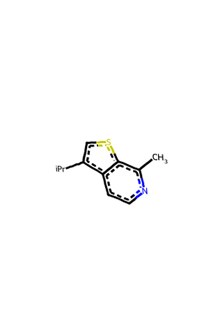 Cc1nccc2c(C(C)C)csc12